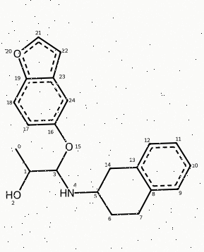 CC(O)C(NC1CCc2ccccc2C1)Oc1ccc2occc2c1